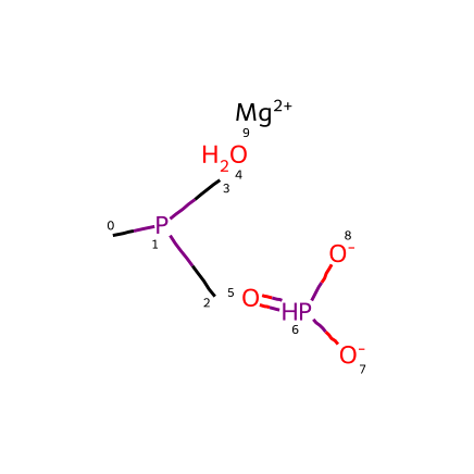 CP(C)C.O.O=[PH]([O-])[O-].[Mg+2]